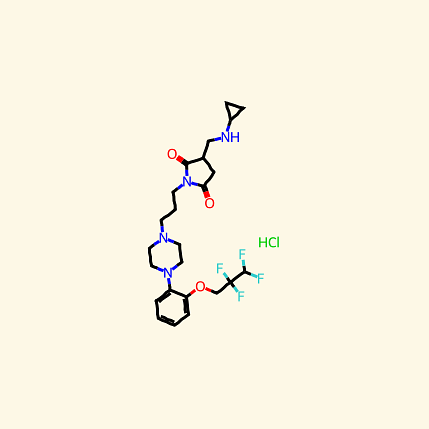 Cl.O=C1CC(CNC2CC2)C(=O)N1CCCN1CCN(c2ccccc2OCC(F)(F)C(F)F)CC1